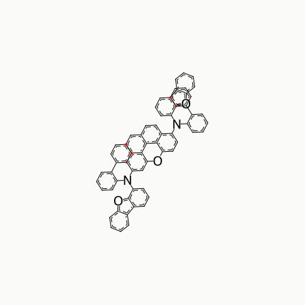 c1ccc(-c2ccccc2N(c2cc3c4c(ccc5ccc6c(N(c7ccccc7-c7ccccc7)c7cccc8c7oc7ccccc78)ccc(c6c54)O3)c2)c2cccc3c2oc2ccccc23)cc1